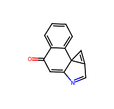 O=C1C=C2N=CC3=CC32c2ccccc21